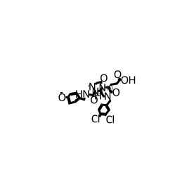 COc1ccc(CNC(=O)N2[C@H]3CN(Cc4ccc(Cl)c(Cl)c4)C(=O)[C@H](CCC(=O)O)N3C(=O)CN2C)cc1